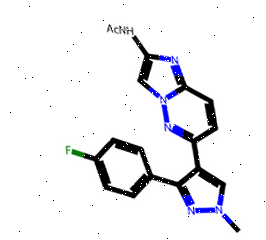 CC(=O)Nc1cn2nc(-c3cn(C)nc3-c3ccc(F)cc3)ccc2n1